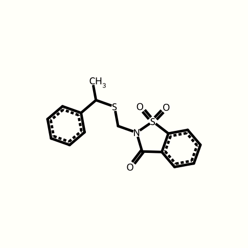 CC(SCN1C(=O)c2ccccc2S1(=O)=O)c1ccccc1